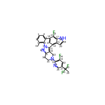 Cc1cccc2c1-n1nc3c(c1-c1cc-2c(F)c2[nH]ccc12)CN(c1ncc(C(C)(F)F)cc1F)CC3